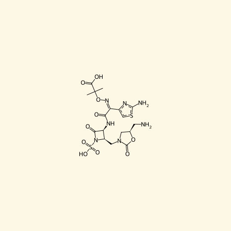 CC(C)(O/N=C(\C(=O)N[C@@H]1C(=O)N(S(=O)(=O)O)[C@@H]1CN1C[C@@H](CN)OC1=O)c1csc(N)n1)C(=O)O